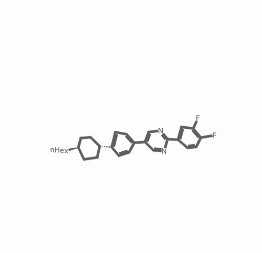 CCCCCC[C@H]1CC[C@H](c2ccc(-c3cnc(-c4ccc(F)c(F)c4)nc3)cc2)CC1